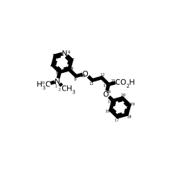 CN(C)c1ccncc1COCCC(Oc1ccccc1)C(=O)O